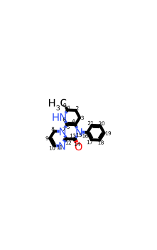 CC1CCC2=C(N1)N1CC=CN=C1C(=O)N2c1ccccc1